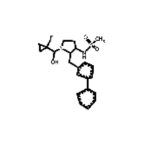 CS(=O)(=O)NC1CCN(C(O)C2(F)CC2)C1Cc1cccc(-c2ccccc2)c1